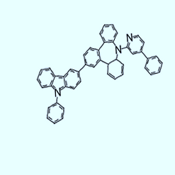 C1=CC2c3cc(-c4ccc5c(c4)c4ccccc4n5-c4ccccc4)ccc3-c3ccccc3N(c3cc(-c4ccccc4)ccn3)C2C=C1